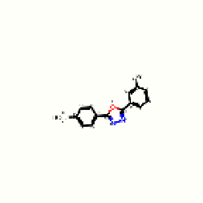 CC(C)c1cccc(-c2nnc(-c3ccc(C(=O)O)cc3)o2)c1